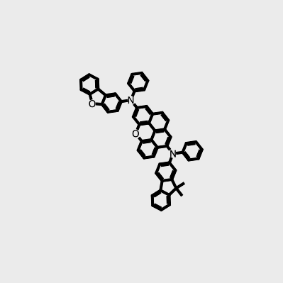 CC1(C)c2ccccc2-c2ccc(N(c3ccccc3)c3cc4ccc5cc(N(c6ccccc6)c6ccc7oc8ccccc8c7c6)cc6c5c4c4c(cccc34)O6)cc21